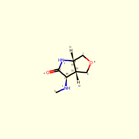 CN[C@H]1C(=O)N[C@@H]2COC[C@@H]21